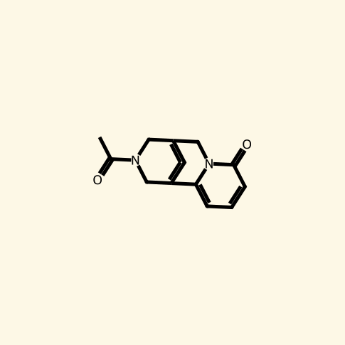 CC(=O)N1CC2=C=C(C1)c1cccc(=O)n1C2